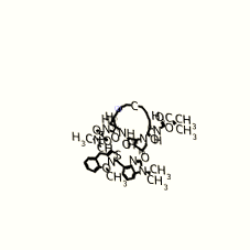 COc1ccccc1Cc1csc(-c2cccc3c2nc(O[C@@H]2C[C@H]4C(=O)N[C@]5(C(=O)NS(=O)(=O)N(C)C)C[C@H]5/C=C\CCCCC[C@H](NC(=O)OC(C)(C)C)C(=O)N4C2)n3C(C)C)n1